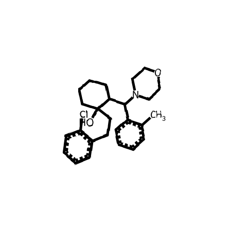 Cc1ccccc1C(C1CCCCC1(O)CCc1ccccc1Cl)N1CCOCC1